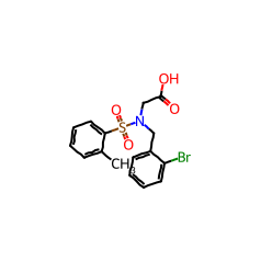 Cc1ccccc1S(=O)(=O)N(CC(=O)O)Cc1ccccc1Br